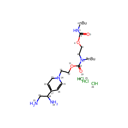 CCCCNC(=O)OCCN(CCCC)C(=O)OCCN1C=CC(C(N)CN)=CC1.Cl.Cl.Cl